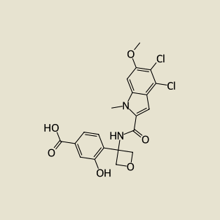 COc1cc2c(cc(C(=O)NC3(c4ccc(C(=O)O)cc4O)COC3)n2C)c(Cl)c1Cl